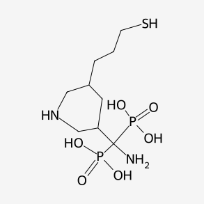 NC(C1CNCC(CCCS)C1)(P(=O)(O)O)P(=O)(O)O